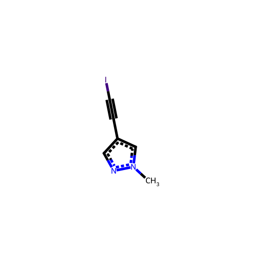 Cn1cc(C#CI)cn1